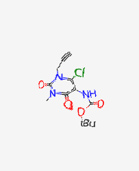 C#CCn1c(Cl)c(NC(=O)OC(C)(C)C)c(=O)n(C)c1=O